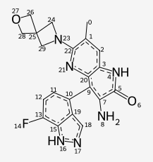 Cc1cc2[nH]c(=O)c(N)c(-c3ccc(F)c4[nH]ncc34)c2nc1N1CC2(COC2)C1